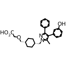 Cc1c(-c2cccc(O)c2)c(-c2ccccc2)nn1C[C@H]1CC[C@@H](COCC(=O)O)CC1